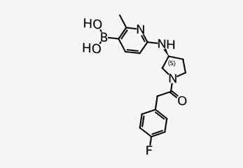 Cc1nc(N[C@H]2CCN(C(=O)Cc3ccc(F)cc3)C2)ccc1B(O)O